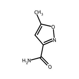 Cc1cc(C(N)=O)no1